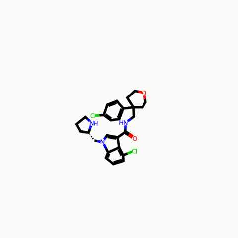 O=C(NCC1(c2ccc(Cl)cc2)CCOCC1)c1cn(C[C@@H]2CCCN2)c2cccc(Cl)c12